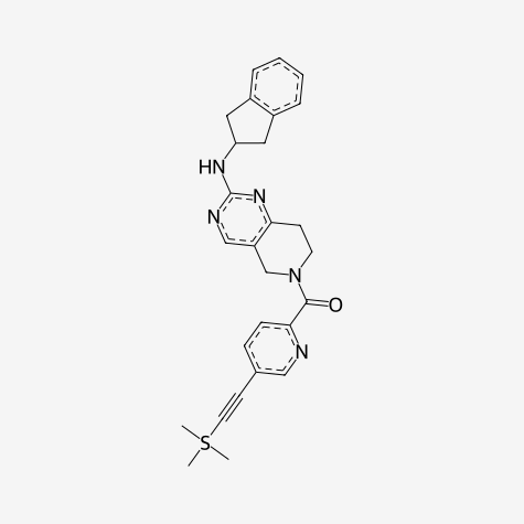 CS(C)(C)C#Cc1ccc(C(=O)N2CCc3nc(NC4Cc5ccccc5C4)ncc3C2)nc1